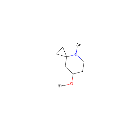 CC(=O)N1CCC(OC(C)C)CC12CC2